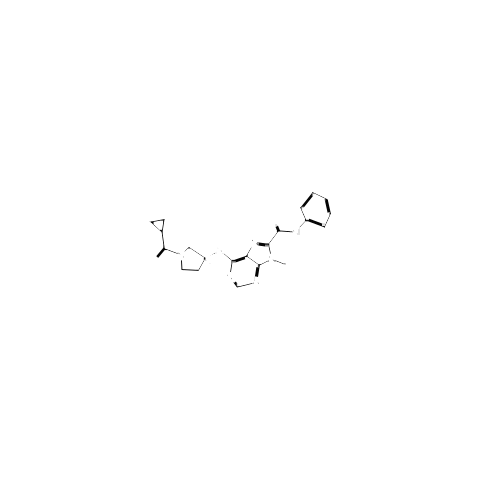 CCn1c(C(=O)Nc2ccccc2)nc2c(N[C@H]3CCN(C(=O)C4CC4)C3)ncnc21